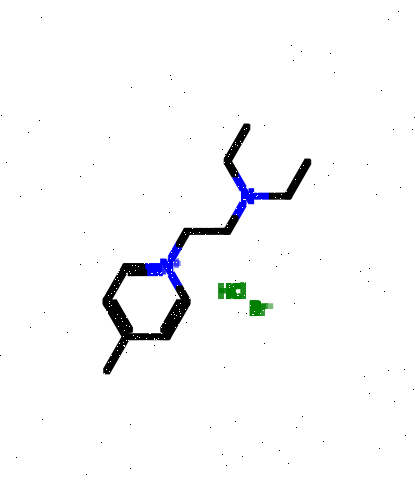 CCN(CC)CC[n+]1ccc(C)cc1.Cl.[Br-]